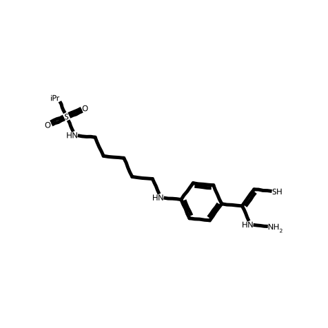 CC(C)S(=O)(=O)NCCCCCNc1ccc(/C(=C/S)NN)cc1